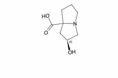 O=C(O)C12CCCN1C[C@@H](O)C2